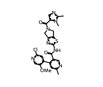 COc1cnc(Cl)cc1-c1cc(C)ncc1C(=O)Nc1nc2c(s1)CN(C(=O)c1cnc(C)n1C)C2